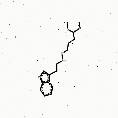 COC(CCCONCCc1c[nH]c2ccccc12)OC